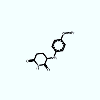 CCCOc1ccc(NC2CCC(=O)NC2=O)cc1